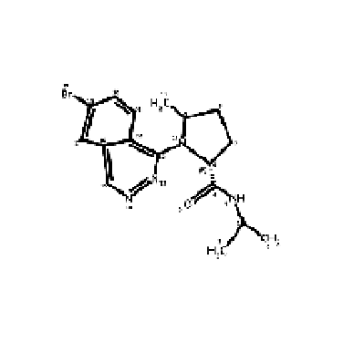 CC(C)NC(=O)[C@H]1CCC(C)N1c1nncc2cc(Br)ccc12